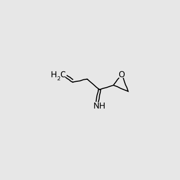 C=CCC(=N)C1CO1